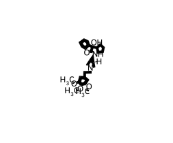 COc1cc(CCN2CC3[C@H](C2)[C@H]3NC(=O)C(O)(c2ccccc2)C2CCCC2)cc(OC)c1OC